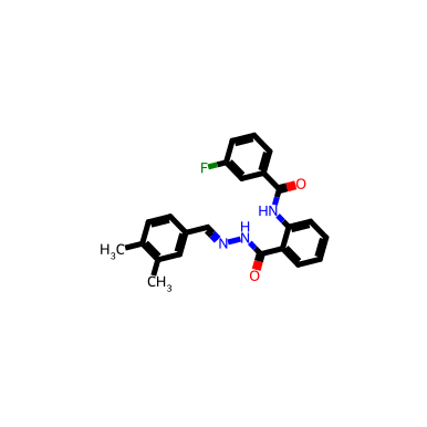 Cc1ccc(C=NNC(=O)c2ccccc2NC(=O)c2cccc(F)c2)cc1C